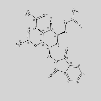 CC(=O)OC[C@H]1O[C@@H](ON2C(=O)c3ccccc3C2=O)[C@H](OC(C)=O)[C@@H](OC(C)=O)[C@H]1F